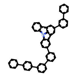 c1ccc(-c2ccc(-c3cccc(-c4cccc(-c5ccc6c(c5)c5cc(-c7cccc(-c8ccccc8)c7)cc7c8ccccc8n6c75)c4)c3)cc2)cc1